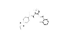 CCS(=O)(=O)N1CCC(NC(=O)c2n[nH]cc2NC(=O)c2c(Cl)cccc2Cl)CC1